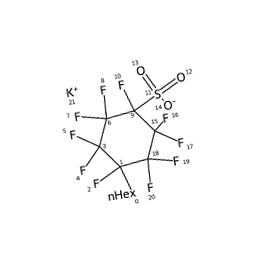 CCCCCCC1(F)C(F)(F)C(F)(F)C(F)(S(=O)(=O)[O-])C(F)(F)C1(F)F.[K+]